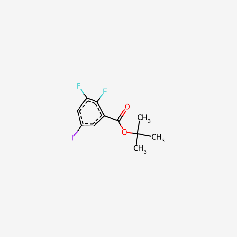 CC(C)(C)OC(=O)c1cc(I)cc(F)c1F